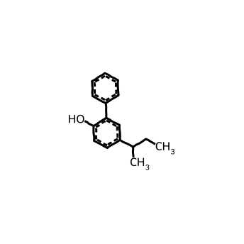 CCC(C)c1ccc(O)c(-c2ccccc2)c1